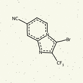 N#Cc1ccn2c(Br)c(C(F)(F)F)nc2c1